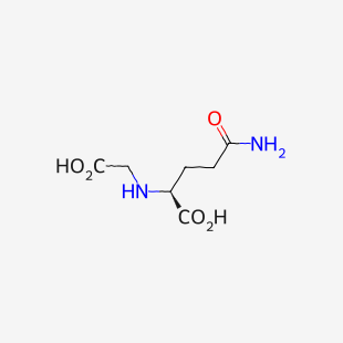 NC(=O)CC[C@H](NCC(=O)O)C(=O)O